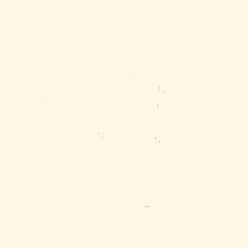 Cc1cc2c3c(c1)N(c1ccc(C(C)(C)C)cc1C)c1cc(N(c4ccc(C(C)(C)C)cc4)c4ccc(C(C)(C)C)cc4)ccc1B3n1c3c(c4cccc-2c41)-c1ccccc1C3(C)C